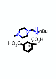 CCCCNCN1CCN(C)CC1.C[C@@]1(C(=O)O)C=CC=C(C(=O)O)C1